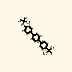 CCC(C)(CC)Sc1ccc(-c2ccc(-c3ccc(C(C)(CC)CC)cc3)cc2)cc1